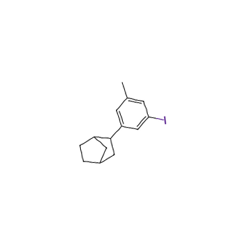 Cc1cc(I)cc(C2CC3CCC2C3)c1